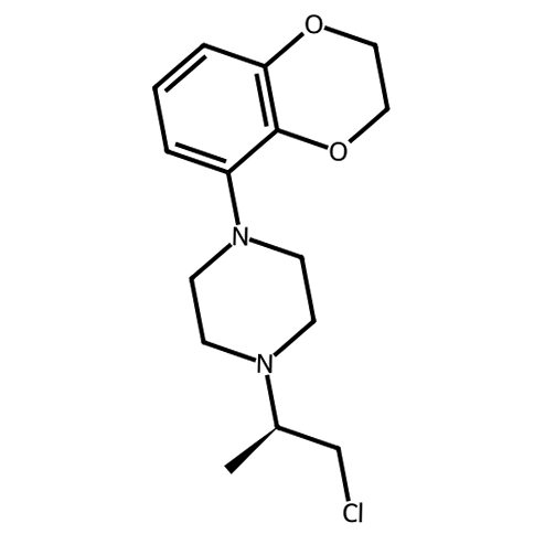 C[C@H](CCl)N1CCN(c2cccc3c2OCCO3)CC1